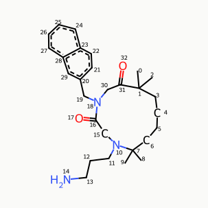 CC1(C)CCCCC(C)(C)N(CCCN)CC(=O)N(Cc2ccc3ccccc3c2)CC1=O